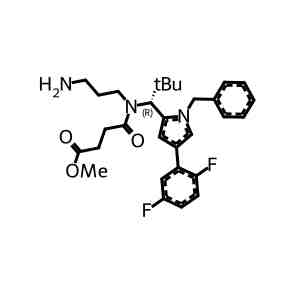 COC(=O)CCC(=O)N(CCCN)[C@@H](c1cc(-c2cc(F)ccc2F)cn1Cc1ccccc1)C(C)(C)C